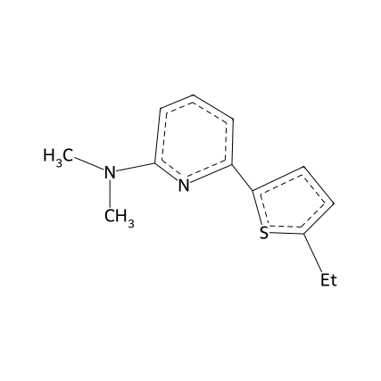 CCc1ccc(-c2cccc(N(C)C)n2)s1